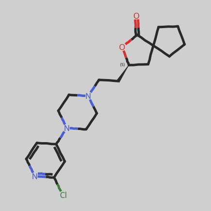 O=C1O[C@H](CCN2CCN(c3ccnc(Cl)c3)CC2)CC12CCCC2